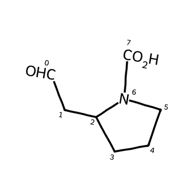 O=CCC1CCCN1C(=O)O